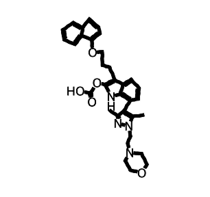 Cc1nn(CCN2CCOCC2)c(C)c1-c1cccc2c(CCCOc3cccc4ccccc34)c(OC(=O)O)[nH]c12